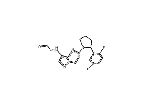 O=CONc1cnn2ccc(N3CCCC3c3cc(F)ccc3F)nc12